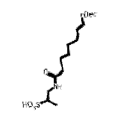 CCCCCCCCCCCCCCCCCC(=O)NCC(C)S(=O)(=O)O